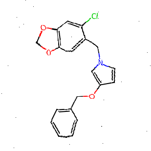 Clc1cc2c(cc1Cn1ccc(OCc3ccccc3)c1)OCO2